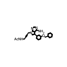 CC(=O)NCC#CCn1cc(-c2cccc(OCc3ccccc3)c2)c2c(N)ncnc21